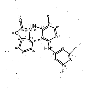 Cc1cc(F)cc(Nc2ncc(C)c(Nn3c(=O)oc4ccccc43)n2)c1